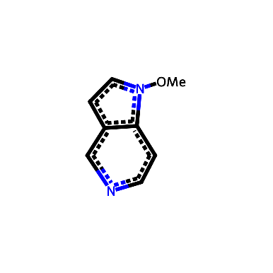 COn1ccc2cnccc21